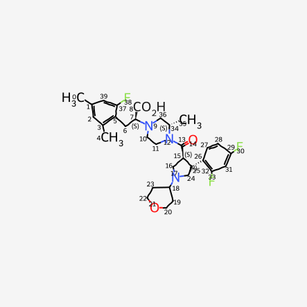 Cc1cc(C)c(C[C@@H](C(=O)O)N2CCN(C(=O)[C@@H]3CN(C4CCOCC4)C[C@H]3c3ccc(F)cc3F)[C@@H](C)C2)c(F)c1